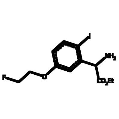 CCOC(=O)C(N)c1cc(OCCF)ccc1I